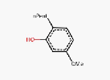 CCCCCc1ccc(OC)cc1O